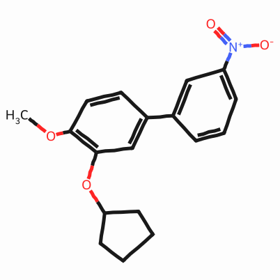 COc1ccc(-c2cccc([N+](=O)[O-])c2)cc1OC1CCCC1